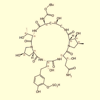 C[C@@H](O)[C@@H]1NC(=O)[C@@H](NC(=O)OC(C)(C)C)C[C@@H](O)CNC(=O)[C@@H]2[C@@H](O)[C@@H](C)CN2C(=O)[C@H]([C@H](O)CC(N)=O)NC(=O)[C@H]([C@H](O)Cc2ccc(O)c(OS(=O)(=O)O)c2)NC(=O)[C@@H]2C[C@@H](O)CN2C1=O